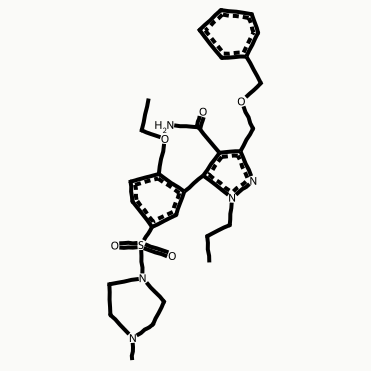 CCCn1nc(COCc2ccccc2)c(C(N)=O)c1-c1cc(S(=O)(=O)N2CCN(C)CC2)ccc1OCC